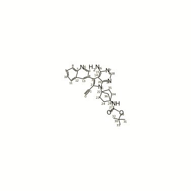 C#Cc1c(-c2cnc3ccccc3c2)c2c(N)ncnc2n1C12CCC(NC(=O)OC(C)(C)C)(CC1)C2